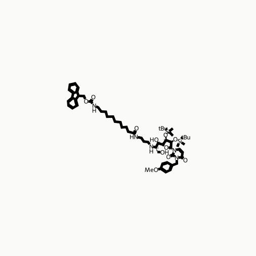 COc1ccc(Cn2c(=O)ccn([C@@H]3OC([C@H](O)[C@H](CO)NCCCNC(=O)CCCCCCCCCCNC(=O)OCC4c5ccccc5-c5ccccc54)[C@@H](O[Si](C)(C)C(C)(C)C)[C@H]3O[Si](C)(C)C(C)(C)C)c2=O)cc1